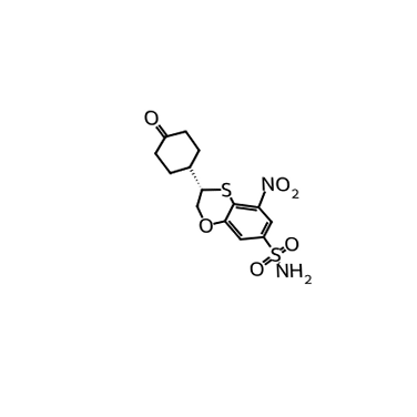 NS(=O)(=O)c1cc2c(c([N+](=O)[O-])c1)S[C@@H](C1CCC(=O)CC1)CO2